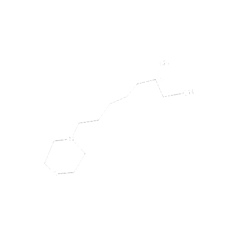 CCC[C@H](CO)CCCCCN1CCSCC1